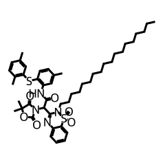 CCCCCCCCCCCCCCCCCCN1C(C(C(=O)Nc2cc(C)ccc2Sc2cc(C)ccc2C)N2C(=O)OC(C)(C)C2=O)=Nc2ccccc2S1(=O)=O